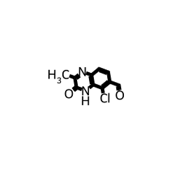 Cc1nc2ccc(C=O)c(Cl)c2[nH]c1=O